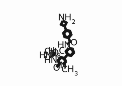 CNC(=O)Nc1cc(-c2cccc(NC(=O)c3ccc(C4CC(N)C4)cc3)c2C)cn(C)c1=O